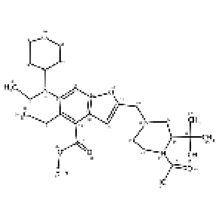 CCc1c(N(CC)C2CCOCC2)cc2oc(CN3CCN(C(=O)O)C(C(C)(C)C)C3)cc2c1C(=O)OC